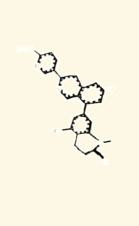 CC(C)c1cc(-c2cccc3cc(-c4ccc(C(=O)O)nc4)ncc23)cc2c1CCC(=O)N2C.[Li]